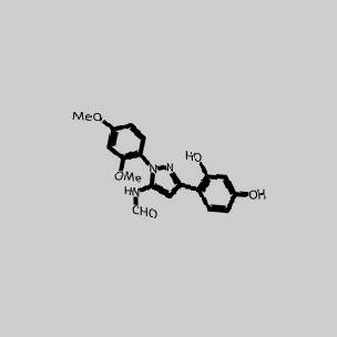 COc1ccc(-n2nc(-c3ccc(O)cc3O)cc2NC=O)c(OC)c1